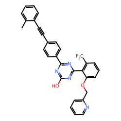 Cc1ccccc1C#Cc1ccc(-c2nc(O)nc(-c3c(OCc4ccccn4)cccc3C(F)(F)F)n2)cc1